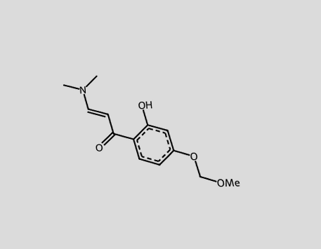 COCOc1ccc(C(=O)/C=C/N(C)C)c(O)c1